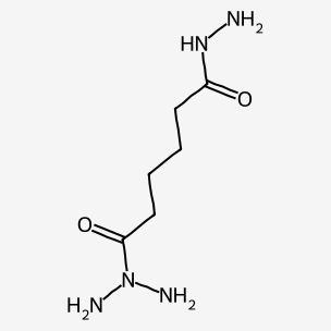 NNC(=O)CCCCC(=O)N(N)N